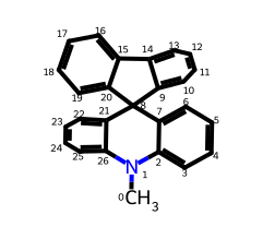 CN1c2ccccc2C2(c3ccccc3-c3ccccc32)c2ccccc21